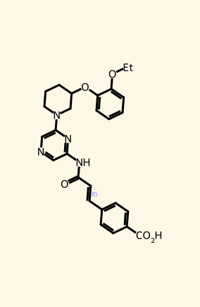 CCOc1ccccc1OC1CCCN(c2cncc(NC(=O)/C=C/c3ccc(C(=O)O)cc3)n2)C1